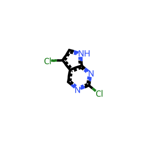 Clc1ncc2c(Cl)c[nH]c2n1